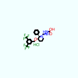 Cl.O=C(O)NNCN1CCC[C@@H](OCc2cc(C(F)(F)F)cc(C(F)(F)F)c2)[C@H]1c1ccccc1